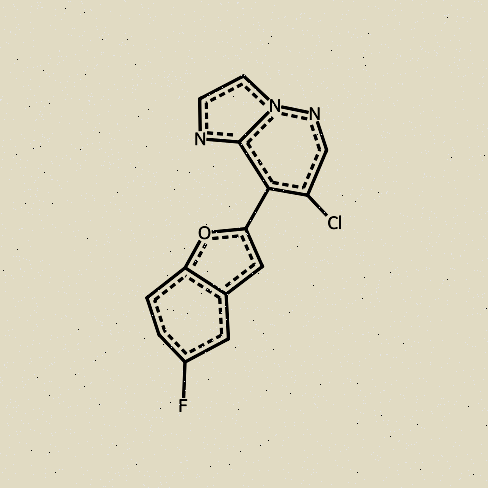 Fc1ccc2oc(-c3c(Cl)cnn4ccnc34)cc2c1